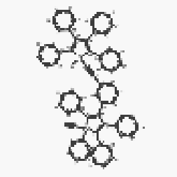 C#C[Si]1(c2ccccc2)C(c2ccccc2)=C(c2ccccc2)C(c2cccc(C#C[Si]3(C)C(c4ccccc4)=C(c4ccccc4)C(c4ccccc4)=C3c3ccccc3)c2)=C1c1ccccc1